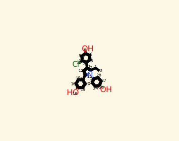 CCc1c(-c2ccc(O)cc2Cl)cc(-c2ccc(O)cc2)n1-c1ccc(O)cc1